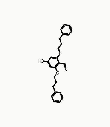 O=Cc1c(OCCCc2ccccc2)cc(O)cc1OCCCc1ccccc1